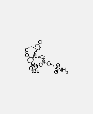 CO[C@@H](C1=CC(CCS(N)(=O)=O)C1)[C@@H]1CC[C@H]1CN1Cc2ccc(Cl)cc2CCCCOc2ccc(C(=O)OC(C)(C)C)cc21